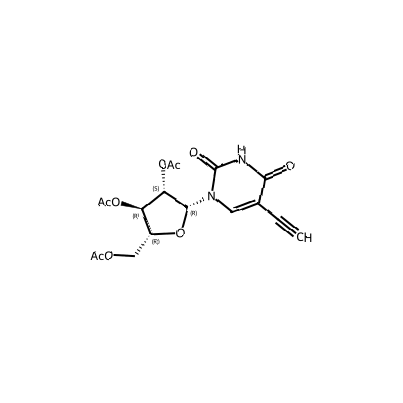 C#Cc1cn([C@@H]2O[C@H](COC(C)=O)[C@@H](OC(C)=O)[C@@H]2OC(C)=O)c(=O)[nH]c1=O